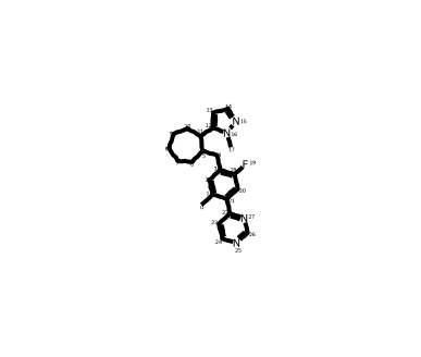 Cc1cc(CC2CCCCCC2c2ccnn2C)c(F)cc1-c1ccncn1